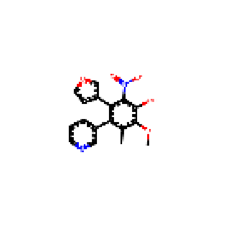 COc1c(C)c(-c2cccnc2)c(-c2ccoc2)c([N+](=O)[O-])c1O